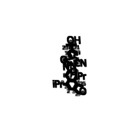 CC(C)c1cc2c(c(C(C)C)c1CC(=O)N=S(=O)(NC#N)c1cc(C(C)(C)O)cs1)COC2